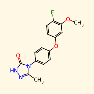 COc1cc(Oc2ccc(-n3c(C)n[nH]c3=O)cc2)ccc1F